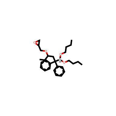 CCCCO[SiH](OCCCC)C(CC(CC)OCC1CO1)(c1ccccc1)c1ccccc1